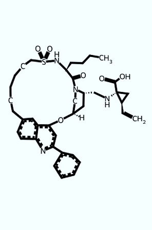 C=C[C@@H]1C[C@]1(NC[C@@H]1C[C@@H]2CN1C(=O)[C@H](CCCC)NS(=O)(=O)CCCCCCc1ccc3nc(-c4ccccc4)cc(c3c1)O2)C(=O)O